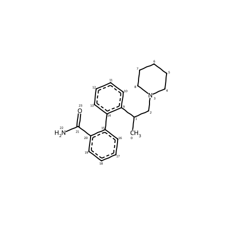 CC(CN1CCCCC1)c1ccccc1-c1ccccc1C(N)=O